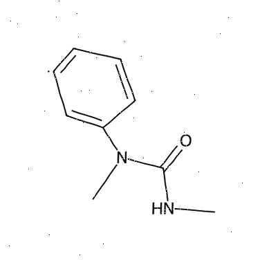 CNC(=O)N(C)c1c[c]ccc1